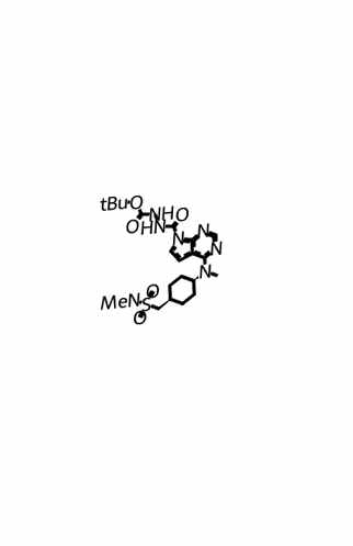 CNS(=O)(=O)C[C@H]1CC[C@H](N(C)c2ncnc3c2ccn3C(=O)NNC(=O)OC(C)(C)C)CC1